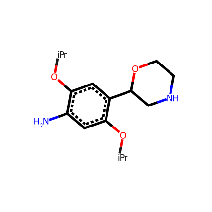 CC(C)Oc1cc(C2CNCCO2)c(OC(C)C)cc1N